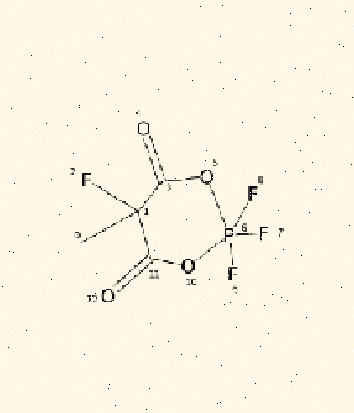 CC1(F)C(=O)OP(F)(F)(F)OC1=O